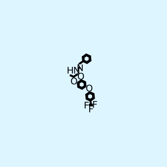 CC(Oc1ccc(Oc2ccc(C(F)(F)F)cc2)cc1)C(=O)N/N=C/c1ccccc1